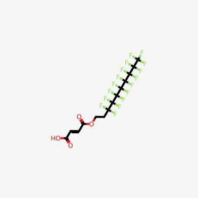 O=C(O)/C=C/C(=O)OCCC(F)(F)C(F)(F)C(F)(F)C(F)(F)C(F)(F)C(F)(F)C(F)(F)C(F)(F)F